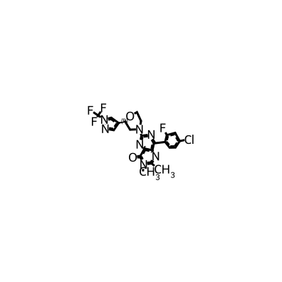 Cc1nc2c(-c3ccc(Cl)cc3F)nc(N3CCO[C@H](c4cnn(C(F)(F)F)c4)C3)nc2c(=O)n1C